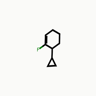 FC1=CCCCC1C1CC1